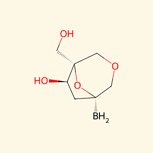 B[C@@]12COC[C@@](CO)(O1)[C@H](O)C2